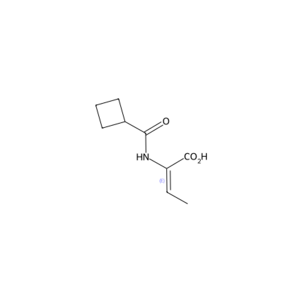 C/C=C(/NC(=O)C1CCC1)C(=O)O